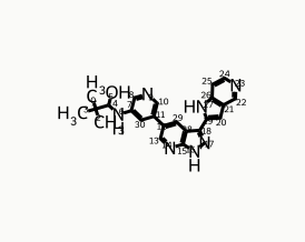 CC(C)(C)C(O)Nc1cncc(-c2cnc3[nH]nc(-c4cc5cnccc5[nH]4)c3c2)c1